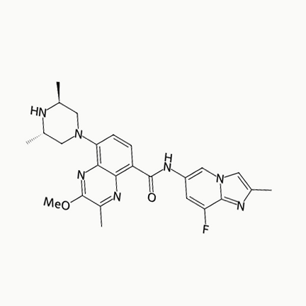 COc1nc2c(N3C[C@H](C)N[C@@H](C)C3)ccc(C(=O)Nc3cc(F)c4nc(C)cn4c3)c2nc1C